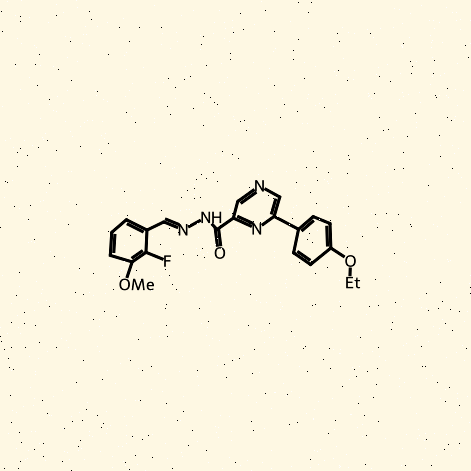 CCOc1ccc(-c2cncc(C(=O)NN=Cc3cccc(OC)c3F)n2)cc1